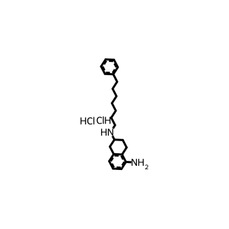 Cl.Cl.Nc1cccc2c1CCC(NCCCCCCCc1ccccc1)C2